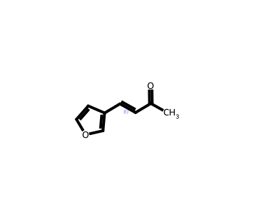 CC(=O)/C=C/c1ccoc1